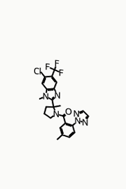 Cc1ccc(-n2nccn2)c(C(=O)N2CCCC2(C)c2nc3cc(C(F)(F)F)c(Cl)cc3n2C)c1